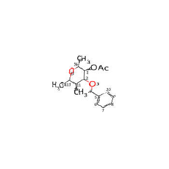 CC(=O)O[C@H]1C(OCc2ccccc2)[C@@H](C)C(C)O[C@H]1C